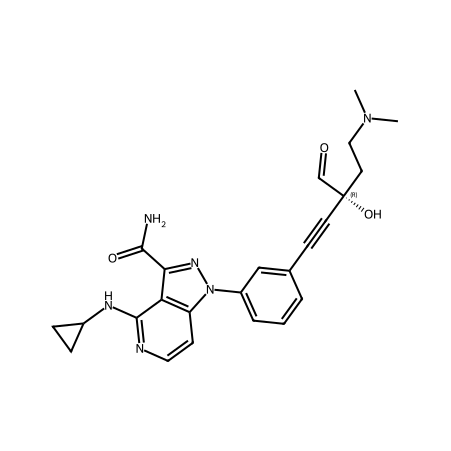 CN(C)CC[C@@](O)(C#Cc1cccc(-n2nc(C(N)=O)c3c(NC4CC4)nccc32)c1)C=O